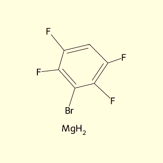 Fc1cc(F)c(F)c(Br)c1F.[MgH2]